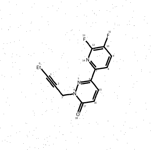 CCC#CCn1nc(-c2ccc(F)c(F)n2)ccc1=O